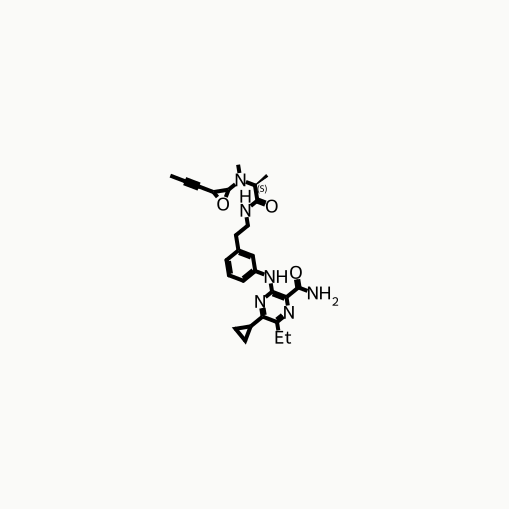 CC#CC1OC1N(C)[C@@H](C)C(=O)NCCc1cccc(Nc2nc(C3CC3)c(CC)nc2C(N)=O)c1